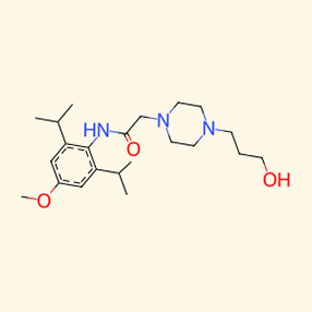 COc1cc(C(C)C)c(NC(=O)CN2CCN(CCCO)CC2)c(C(C)C)c1